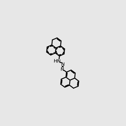 C1=CC2=C(/N=N/Nc3ccc4c5c(cccc35)CC=C4)C=CC3C=CCC(=C1)C23